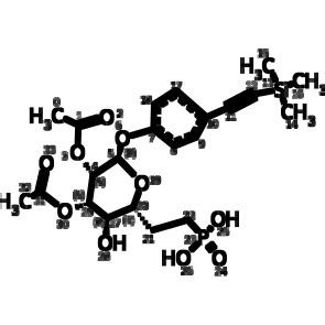 CC(=O)O[C@@H]1[C@@H](Oc2ccc(C#C[Si](C)(C)C)cc2)O[C@H](CCP(=O)(O)O)[C@@H](O)[C@@H]1OC(C)=O